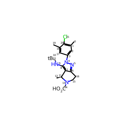 Cc1cc(-n2nc3c(c2NC(C)(C)C)[C@H](C)N(C(=O)O)CC3)cc(C)c1Cl